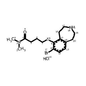 CN(C)C(=O)CCCSc1c(Br)ccc2c1CCNCC2.Cl